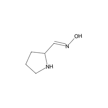 ON=CC1CCCN1